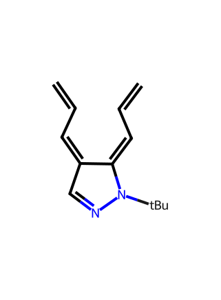 C=C/C=c1/cnn(C(C)(C)C)/c1=C/C=C